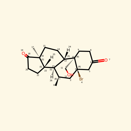 C[C@@H]1C[C@@]2(Br)CC(=O)CC[C@]2(CO)[C@H]2CC[C@]3(C)C(=O)CC[C@H]3[C@H]12